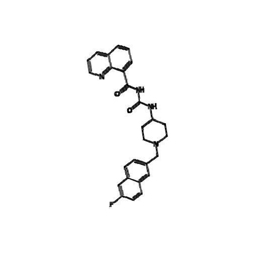 O=C(NC(=O)c1cccc2cccnc12)NC1CCN(Cc2ccc3cc(F)ccc3c2)CC1